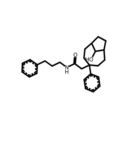 O=C(CC1(c2ccccc2)CCC2CCC(CC1)C2O)NCCCc1ccccc1